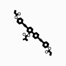 C=CC(=O)Oc1ccc(C#Cc2ccc(-c3ccc(C#Cc4ccc(OC(=O)C=C)cc4)cc3OC(=O)C(=C)C)cc2)cc1